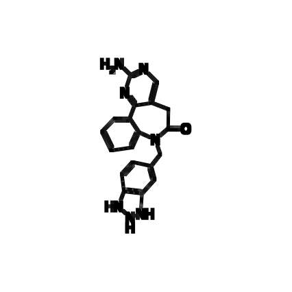 Nc1ncc2c(n1)-c1ccccc1N(Cc1ccc3c(c1)NNN3)C(=O)C2